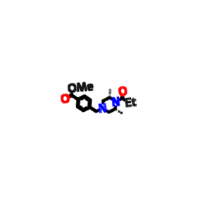 CCC(=O)N1[C@H](C)CN(Cc2ccc(C(=O)OC)cc2)C[C@@H]1C